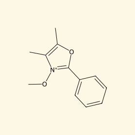 CO[n+]1c(-c2ccccc2)oc(C)c1C